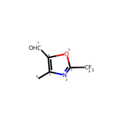 Cc1nc(C(F)(F)F)oc1C=O